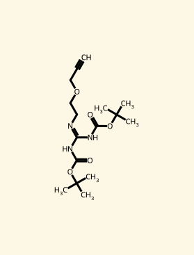 C#CCOCCN=C(NC(=O)OC(C)(C)C)NC(=O)OC(C)(C)C